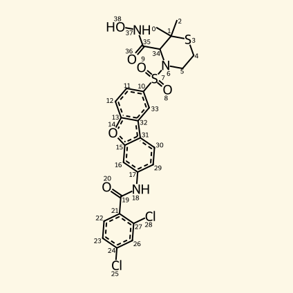 CC1(C)SCCN(S(=O)(=O)c2ccc3oc4cc(NC(=O)c5ccc(Cl)cc5Cl)ccc4c3c2)C1C(=O)NO